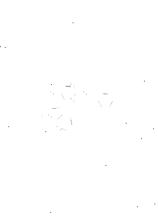 Nc1cnc(NCc2cccc(Cl)c2)nc1-c1c[nH]c2ncc(C(F)(F)F)cc12